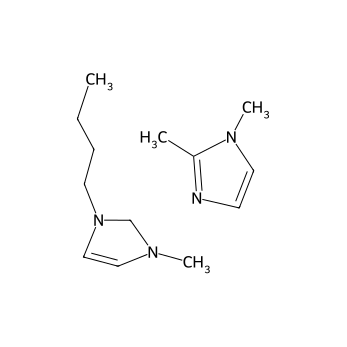 CCCCN1C=CN(C)C1.Cc1nccn1C